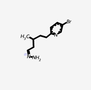 CC(C/C=N\N)CCc1ccc(Br)cn1